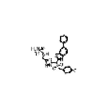 NS(=O)(=O)NCc1nnc(C(c2nc3ccc(-c4ccccc4)cc3s2)S(=O)(=O)Cc2ccc(Cl)cc2)o1